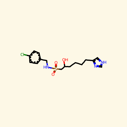 O=S(=O)(CC(O)CCCCc1c[nH]cn1)NCc1ccc(Cl)cc1